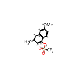 COc1ccc2c(c1)CC(C)C=C2OS(=O)(=O)C(F)(F)F